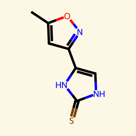 Cc1cc(-c2c[nH]c(=S)[nH]2)no1